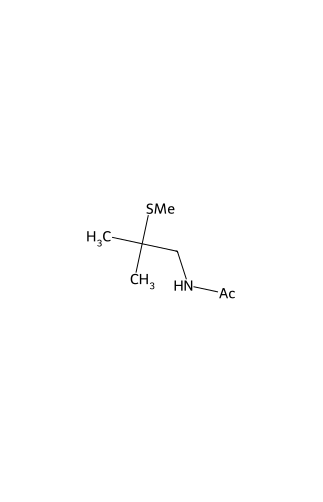 CSC(C)(C)CNC(C)=O